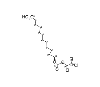 O=C(O)CCCCCCCCCCCOC(=O)OC(Cl)C(Cl)Cl